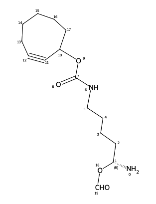 N[C@@H](CCCCNC(=O)OC1C#CCCCCC1)OC=O